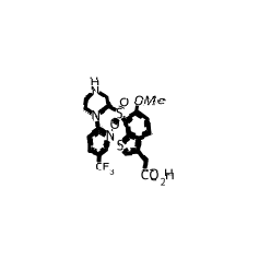 COc1ccc2c(CC(=O)O)csc2c1S(=O)(=O)C1CNCCN1c1ccc(C(F)(F)F)cn1